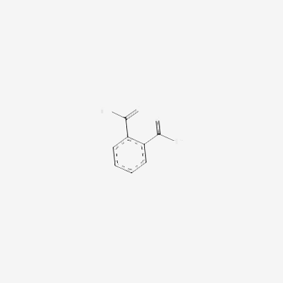 CC(C)C(=S)c1ccccc1C(=S)C(C)C